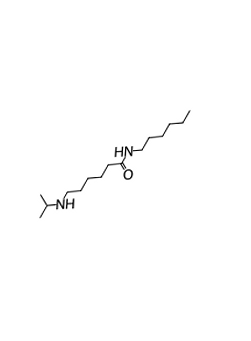 CCCCCCNC(=O)CCCCCNC(C)C